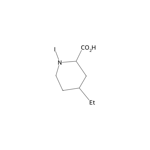 CCC1CCN(I)C(C(=O)O)C1